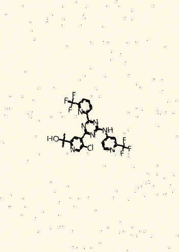 CC(C)(O)c1cc(-c2nc(Nc3ccnc(C(F)(F)F)c3)nc(-c3cccc(C(F)(F)F)n3)n2)c(Cl)cn1